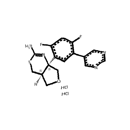 Cl.Cl.NC1=N[C@@]2(c3cc(-c4cncnc4)c(F)cc3F)COC[C@H]2CS1